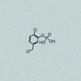 [O]Cc1ccc(Cl)c(OP(=O)(O)O)c1